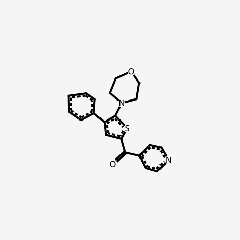 O=C(c1ccncc1)c1cc(-c2ccccc2)c(N2CCOCC2)s1